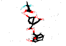 CC(F)(F)C(=O)OC1C2CC3C1OC(=O)C3C2C(=O)OCC12CC3CC(CC(O)(C3)C1)C2